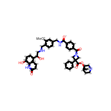 COc1cc(CNC(=O)c2ccc(C(=O)N3CC(C(=O)OC4CN5CCC4CC5)(c4ccccc4)C3)cc2)ccc1CNCC(O)c1ccc(O)c2[nH]c(=O)ccc12